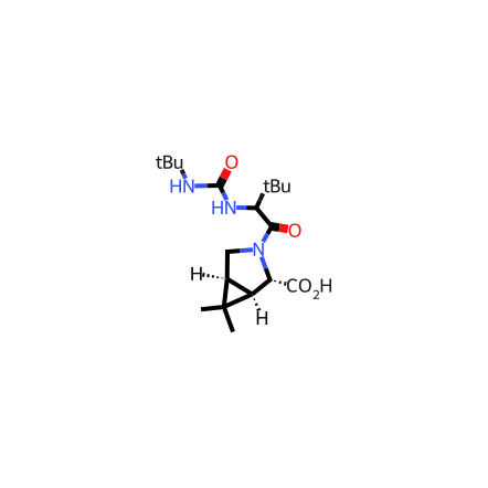 CC(C)(C)NC(=O)NC(C(=O)N1C[C@H]2[C@@H]([C@H]1C(=O)O)C2(C)C)C(C)(C)C